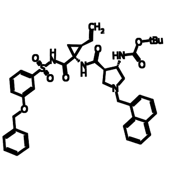 C=C[C@@H]1C[C@]1(NC(=O)[C@@H]1CN(Cc2cccc3ccccc23)C[C@H]1NC(=O)OC(C)(C)C)C(=O)NS(=O)(=O)c1cccc(OCc2ccccc2)c1